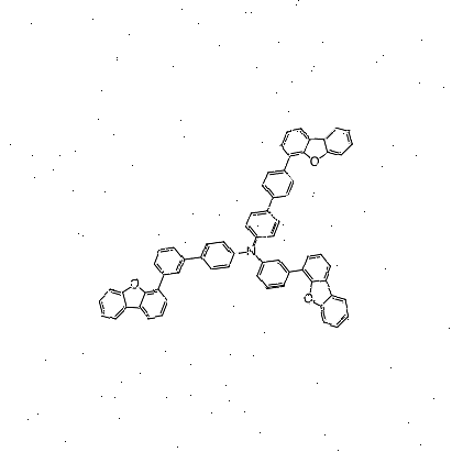 c1cc(-c2ccc(N(c3ccc(-c4ccc(-c5cccc6c5oc5ccccc56)cc4)cc3)c3cccc(-c4cccc5c4oc4ccccc45)c3)cc2)cc(-c2cccc3c2oc2ccccc23)c1